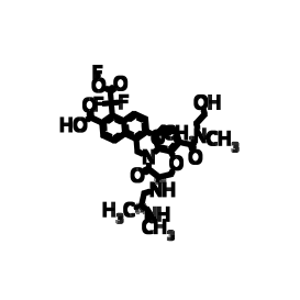 CN[C@@H](C)CN[C@H]1COc2c(C(=O)N(C)CCO)cccc2N(Cc2c(OC)ccc3c(C(F)(F)C(=O)OF)c(C(=O)O)ccc23)C1=O